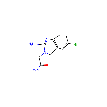 NC(=O)CN1Cc2cc(Br)ccc2N=C1N